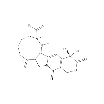 C=C1CCCCC(C)(C(=C)F)N(C)C2=C1Cn1c2cc2c(c1=O)COC(=O)[C@]2(O)CC